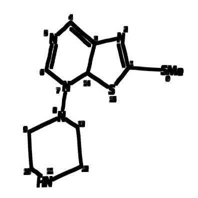 CSC1=NC2=CN=CN(N3CCNCC3)C2S1